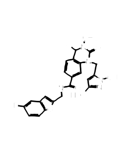 Cc1cc(CN2C(=O)N(C)C(C)c3ccc(C(=O)NCc4cc5cc(F)ccc5o4)cc32)n(C)n1